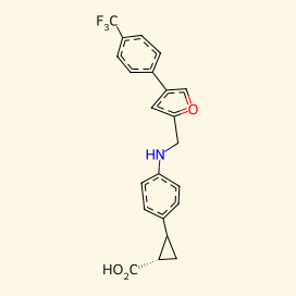 O=C(O)[C@H]1CC1c1ccc(NCc2cc(-c3ccc(C(F)(F)F)cc3)co2)cc1